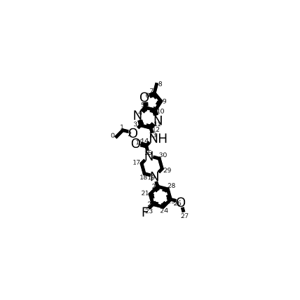 CCOc1nc2oc(C)cc2nc1NC(=O)N1CCN(c2cc(F)cc(OC)c2)CC1